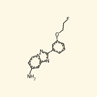 Nc1ccn2nc(-c3cccc(OCCF)c3)nc2c1